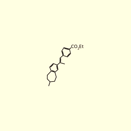 CCOC(=O)c1ccc(/C=C(\C)c2ccc3c(c2)CCC(C)CC3)cc1